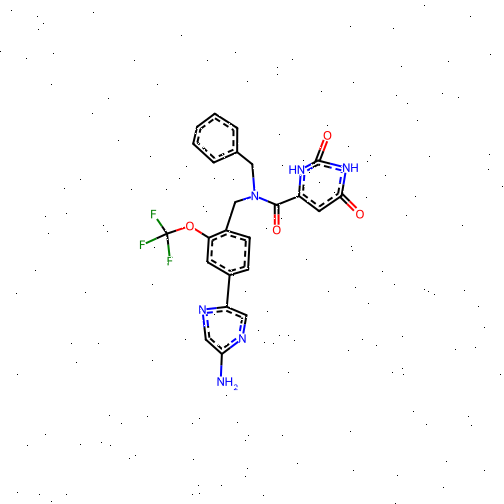 Nc1cnc(-c2ccc(CN(Cc3ccccc3)C(=O)c3cc(=O)[nH]c(=O)[nH]3)c(OC(F)(F)F)c2)cn1